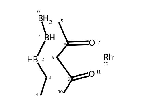 BBBCC.CC(=O)CC(C)=O.[Rh]